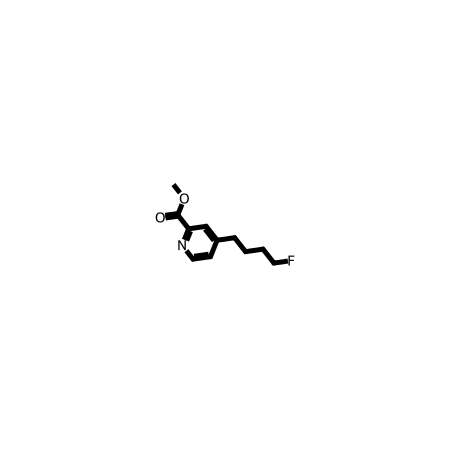 COC(=O)c1cc(CCCCF)ccn1